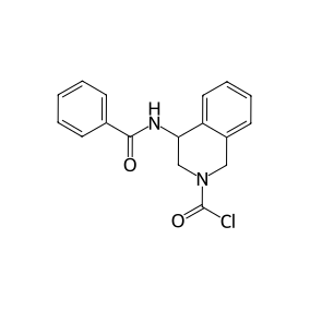 O=C(NC1CN(C(=O)Cl)Cc2ccccc21)c1ccccc1